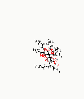 CCCCC(CC)CC(C(=O)O)C(OC(C)=O)(C(=O)O)C(CC(CC)CCCC)(CC(CC)CCCC)C(=O)O